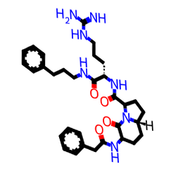 N=C(N)NCCC[C@H](NC(=O)C1CC[C@@H]2CCC(NC(=O)Cc3ccccc3)C(=O)N12)C(=O)NCCCc1ccccc1